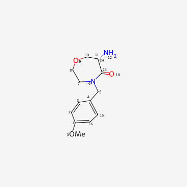 COc1ccc(CN2CCOC[C@H](N)C2=O)cc1